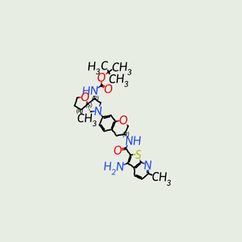 Cc1ccc2c(N)c(C(=O)N[C@H]3COc4cc(N5C[C@@H](NC(=O)OC(C)(C)C)[C@]6(C5)OCC[C@H]6C)ccc4C3)sc2n1